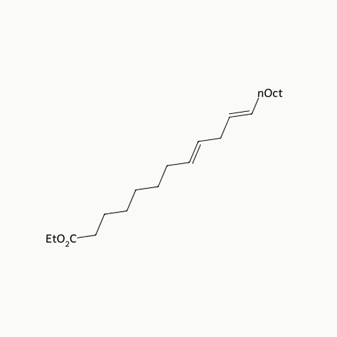 CCCCCCCCC=CCC=CCCCCCCC(=O)OCC